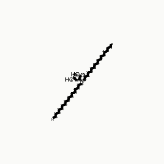 CCCCCCCCCCCCCCCCCCN(CCCCCCCCCCCCCCCCCC)[C@@H](CC(=O)O)C(=O)O